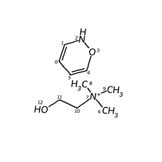 C1=CNOC=C1.C[N+](C)(C)CCO